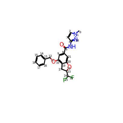 Cn1ccc(NC(=O)c2cc(OCc3ccccc3)c3c(c2)OC(C(F)F)C3)n1